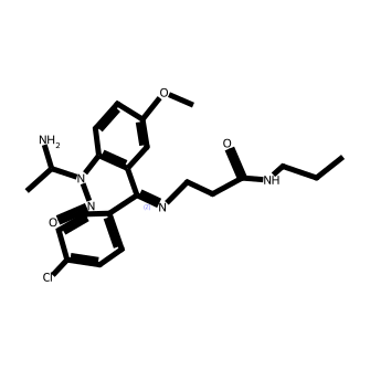 CCCNC(=O)CC/N=C(/c1ccc(Cl)cc1)c1cc(OC)ccc1N(N=O)C(C)N